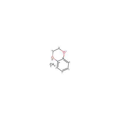 C.c1ccc2c(c1)OCCO2